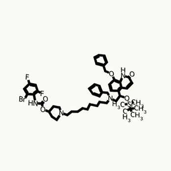 CC(C)(C)[Si](C)(C)OC(CN(CCCCCCCCCN1CCC(OC(=O)Nc2c(F)cc(F)cc2Br)CC1)Cc1ccccc1)c1ccc(OCc2ccccc2)c2[nH]c(=O)ccc12